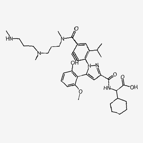 CNCCCN(C)CCCN(C)C(=O)c1c#cc(-n2nc(C(=O)NC(C(=O)O)C3CCCCC3)cc2-c2c(O)cccc2OC)c(C(C)C)c1